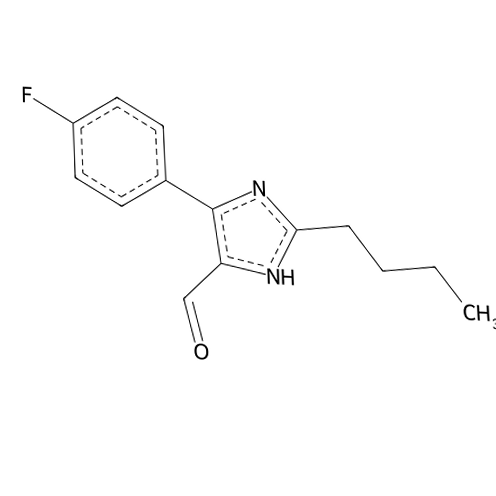 CCCCc1nc(-c2ccc(F)cc2)c(C=O)[nH]1